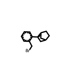 BrCc1ccccc1C1=C2CCC(C2)C1